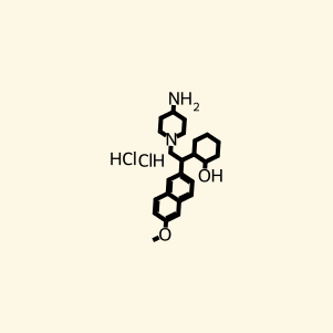 COc1ccc2cc(C(CN3CCC(N)CC3)C3CCCCC3O)ccc2c1.Cl.Cl